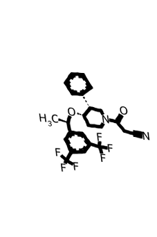 C[C@@H](O[C@H]1CCN(C(=O)CC#N)C[C@H]1c1ccccc1)c1cc(C(F)(F)F)cc(C(F)(F)F)c1